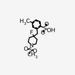 Cc1ccc(S(=O)(=O)O)c(CC2(F)CCN(S(C)(=O)=O)CC2)c1